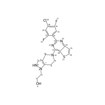 OCCN1NCC2=C1CCN(c1nc(-c3cc(F)c(Cl)cc3F)nc3ccsc13)C2